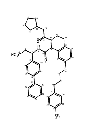 O=C(O)CC(NC(=O)C1c2cc(OCCCc3ccc(C(F)(F)F)cc3)ccc2CCN1C(=O)CC1CCCC1)c1ccc(-c2ccccc2)cc1